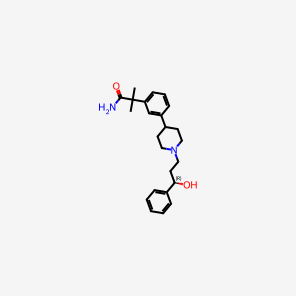 CC(C)(C(N)=O)c1cccc(C2CCN(CC[C@@H](O)c3ccccc3)CC2)c1